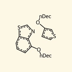 CCCCCCCCCCOc1cccc2scnc12.CCCCCCCCCCOc1ccsc1